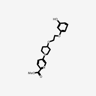 COC(=O)c1ccc(N2CCC(OCCOc3cccc(O)c3)CC2)cn1